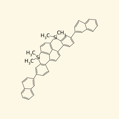 C[Si]1(C)c2cc(-c3ccc4ccccc4c3)ccc2-c2ccc3c4c(ccc1c24)[Si](C)(C)c1cc(-c2ccc4ccccc4c2)ccc1-3